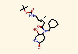 C[C@@H](CCNC(=O)OC(C)(C)C)CC(=O)N(CC1CCCCC1)C1CCC(=O)NCC1O